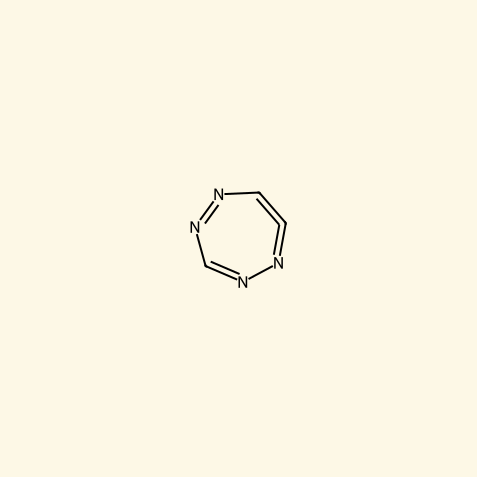 C1=CN=NC=NN=1